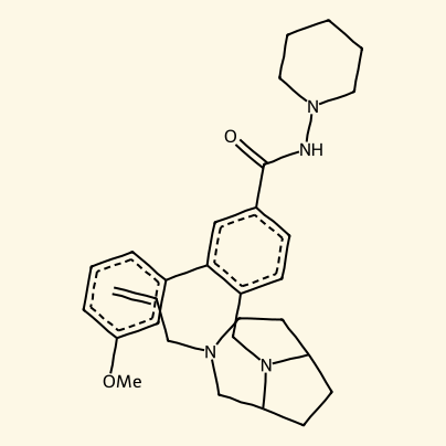 C=CCN1CCC2CCC(C1)N2Cc1ccc(C(=O)NN2CCCCC2)cc1-c1cccc(OC)c1